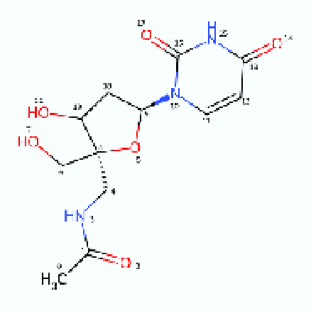 CC(=O)NC[C@@]1(CO)O[C@H](n2ccc(=O)[nH]c2=O)CC1O